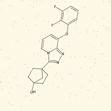 OC12CCC(c3nnc4c(Oc5cccc(F)c5F)cccn34)(CC1)C2